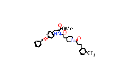 COC(=O)[C@H](Cc1ccc(OCc2ccccc2)cc1)NC(=O)CC1CCN(C(=O)CCc2cccc(C(F)(F)F)c2)CC1